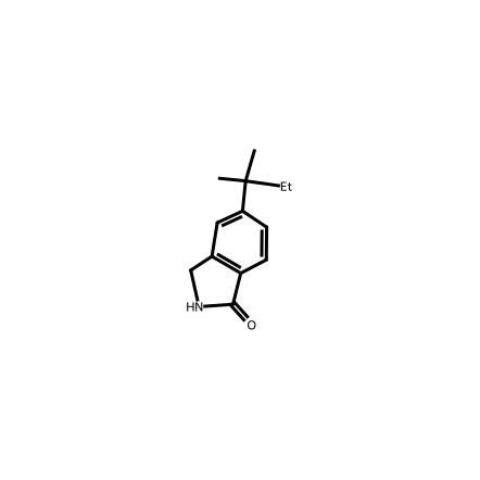 CCC(C)(C)c1ccc2c(c1)CNC2=O